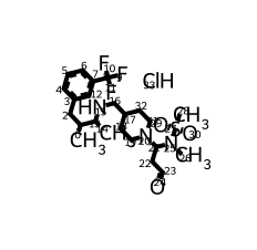 CC(Cc1cccc(C(F)(F)F)c1)C(C)NCC1CCN(C(CC=O)N(C)S(C)(=O)=O)CC1.Cl